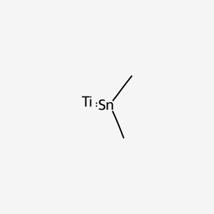 [CH3][Sn][CH3].[Ti]